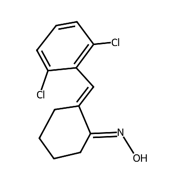 O/N=C1\CCCC\C1=C/c1c(Cl)cccc1Cl